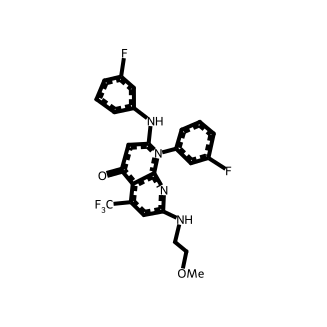 COCCNc1cc(C(F)(F)F)c2c(=O)cc(Nc3cccc(F)c3)n(-c3cccc(F)c3)c2n1